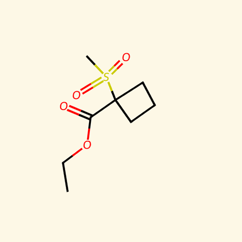 CCOC(=O)C1(S(C)(=O)=O)CCC1